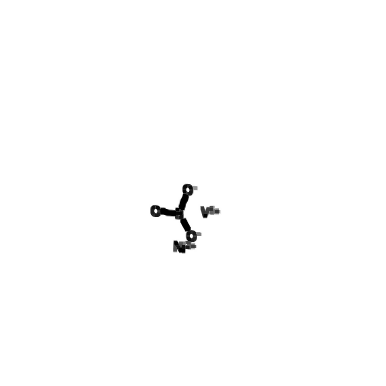 [Ni+2].[O-]B([O-])[O-].[V+5]